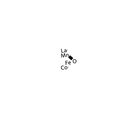 [Co].[Fe].[La].[O]=[Mn]